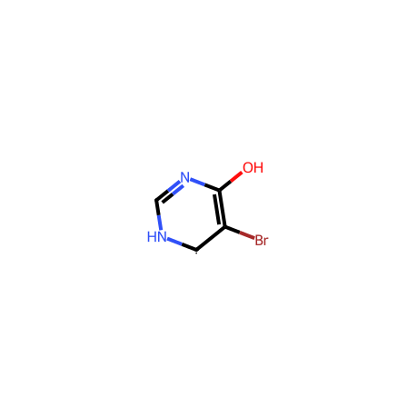 OC1=C(Br)[CH]NC=N1